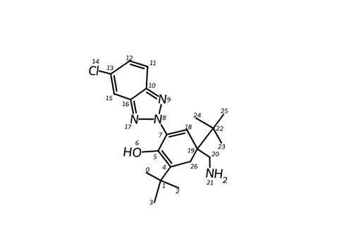 CC(C)(C)C1=C(O)C(n2nc3ccc(Cl)cc3n2)=CC(CN)(C(C)(C)C)C1